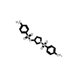 Cc1ccc(S(=O)(=O)OC2CCN(S(=O)(=O)c3ccc(C)cc3)C2)cc1